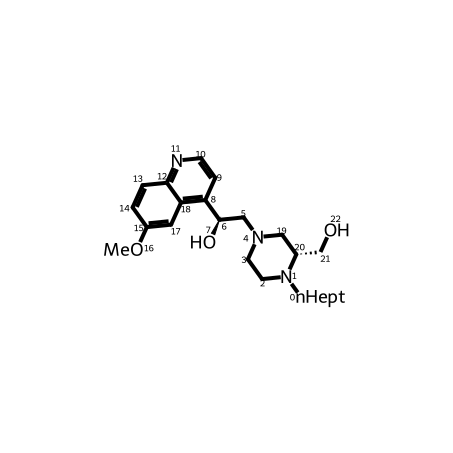 CCCCCCCN1CCN(C[C@@H](O)c2ccnc3ccc(OC)cc23)C[C@@H]1CO